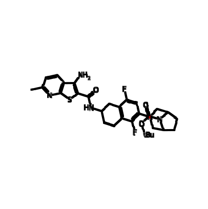 Cc1ccc2c(N)c(C(=O)NC3CCc4c(F)c(N5CC6CCC(C5)N6C(=O)OC(C)(C)C)cc(F)c4C3)sc2n1